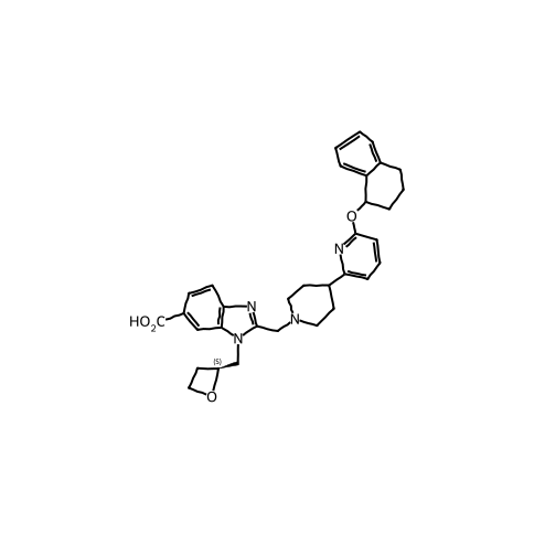 O=C(O)c1ccc2nc(CN3CCC(c4cccc(OC5CCCc6ccccc65)n4)CC3)n(C[C@@H]3CCO3)c2c1